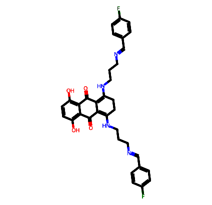 O=C1C2=C(NCCCN=Cc3ccc(F)cc3)CCC(NCCCN=Cc3ccc(F)cc3)=C2C(=O)c2c(O)ccc(O)c21